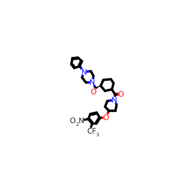 O=C(C1CCC[C@H](C(=O)N2CCN(c3ccccc3)CC2)C1)N1CCC(Oc2ccc([N+](=O)[O-])c(C(F)(F)F)c2)CC1